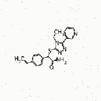 C=Cc1ccc(C(Sc2nnc(-c3cccnc3)n2CC)C(N)=O)cc1